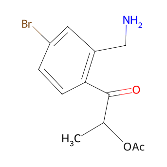 CC(=O)OC(C)C(=O)c1ccc(Br)cc1CN